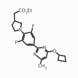 CCOC(=O)CC1CCN(c2c(F)cc(-c3nc(C)cc(OC4CCC4)n3)cc2F)C1